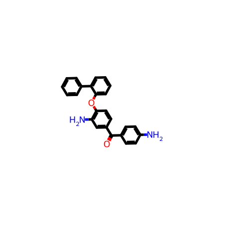 Nc1ccc(C(=O)c2ccc(Oc3ccccc3-c3ccccc3)c(N)c2)cc1